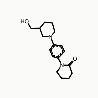 O=C1CCCCN1c1ccc(N2CCCC(CO)C2)cc1